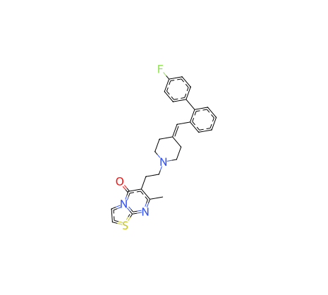 Cc1nc2sccn2c(=O)c1CCN1CCC(=Cc2ccccc2-c2ccc(F)cc2)CC1